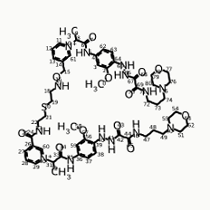 COc1cc(NC(=O)C(C)[n+]2cccc(CONCCSCCNC(=O)c3ccc[n+](C(C)C(=O)Nc4ccc(NNC(=O)C(=O)NCCCN5CCOCC5)c(OC)c4)c3)c2)ccc1NNC(=O)C(=O)NCCCN1CCOCC1